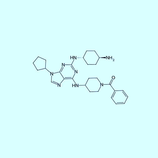 N[C@H]1CC[C@H](Nc2nc(NC3CCN(C(=O)c4ccccc4)CC3)c3ncn(C4CCCC4)c3n2)CC1